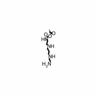 NCCNCCCNCCNC(=O)OC(=O)I